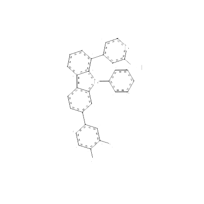 Oc1cc(-c2cccc3c4ccc(-c5ccc(Cl)c(Cl)c5)cc4n(-c4ccccc4)c23)ccn1